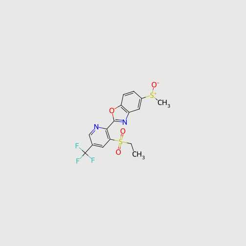 CCS(=O)(=O)c1cc(C(F)(F)F)cnc1-c1nc2cc([S+](C)[O-])ccc2o1